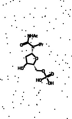 CC(=O)NC(=O)N(C(C)C)[C@H]1CC(O)[C@@H](COP(=O)(O)O)O1